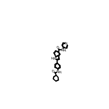 O=C(Nc1ccncc1)c1ccc2[nH]c(-c3ccc(NC(=O)C4CCCCC4)cc3)cc2c1